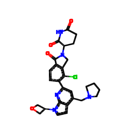 O=C1CCC(N2Cc3c(ccc(-c4cc(CN5CCCC5)c5ccn(C6COC6)c5n4)c3Cl)C2=O)C(=O)N1